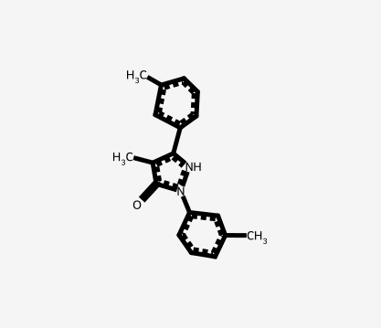 Cc1cccc(-c2[nH]n(-c3cccc(C)c3)c(=O)c2C)c1